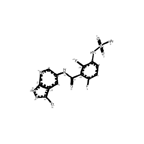 CCCS(=O)(=O)Nc1ccc(F)c(C(=O)Nc2cnc3[nH]nc(CC)c3c2)c1F